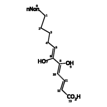 CCCCCCCCCCCCCC=C(O)C(O)=CC=CC(=O)O